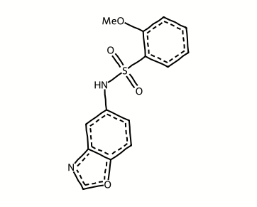 COc1ccccc1S(=O)(=O)Nc1ccc2ocnc2c1